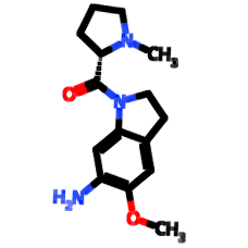 COc1cc2c(cc1N)N(C(=O)[C@@H]1CCCN1C)CC2